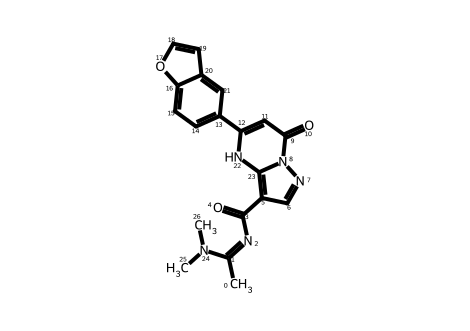 CC(=NC(=O)c1cnn2c(=O)cc(-c3ccc4occc4c3)[nH]c12)N(C)C